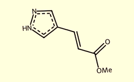 COC(=O)C=Cc1cn[nH]c1